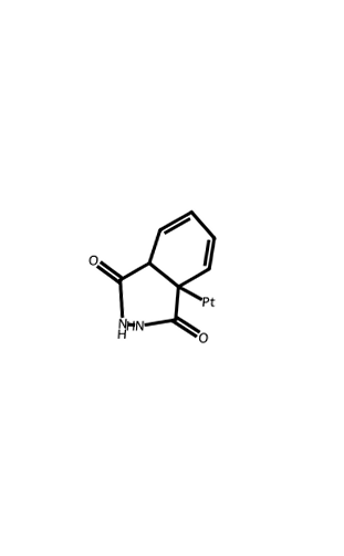 O=C1NNC(=O)[C]2([Pt])C=CC=CC12